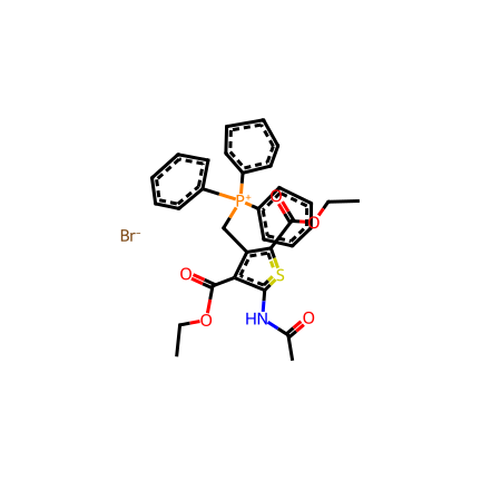 CCOC(=O)c1sc(NC(C)=O)c(C(=O)OCC)c1C[P+](c1ccccc1)(c1ccccc1)c1ccccc1.[Br-]